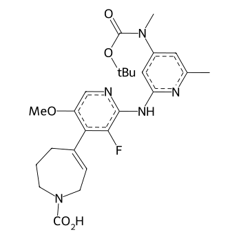 COc1cnc(Nc2cc(N(C)C(=O)OC(C)(C)C)cc(C)n2)c(F)c1C1=CCN(C(=O)O)CCC1